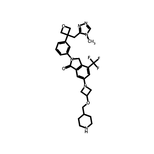 Cn1cnnc1CC1(c2cccc(N3Cc4c(cc(N5CC(OCC6CCNCC6)C5)cc4C(F)(F)F)C3=O)c2)COC1